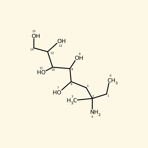 CCC(C)(N)CC(O)C(O)C(O)C(O)CO